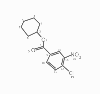 O=C(OC1CCCCC1)c1ccc(Cl)c([N+](=O)[O-])c1